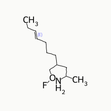 CC/C=C/CCCC(COF)CC(C)N